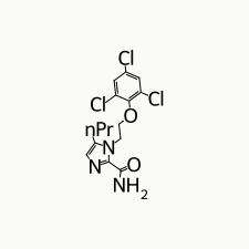 CCCc1cnc(C(N)=O)n1CCOc1c(Cl)cc(Cl)cc1Cl